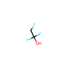 OC(F)(F)CF